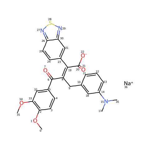 COc1ccc(C(=O)C(Cc2cccc(N(C)C)c2)=C(C(=O)[O-])c2ccc3nsnc3c2)cc1OC.[Na+]